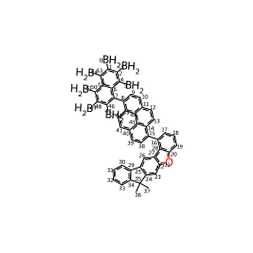 Bc1c(B)c(B)c2c(-c3ccc4ccc5c(-c6cccc7oc8cc9c(cc8c67)-c6ccccc6C9(C)C)ccc6ccc3c4c65)c(B)c(B)c(B)c2c1B